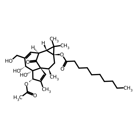 CCCCCCCCCC(=O)O[C@@]12C[C@@H](C)[C@]34C=C(C)[C@H](OC(C)=O)[C@@]3(O)[C@H](O)C(CO)=C[C@H](C4=O)[C@@H]1C2(C)C